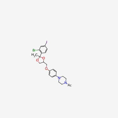 CC(=O)N1CCN(c2ccc(OCC3COC(C)(c4ccc(I)cc4Br)O3)cc2)CC1